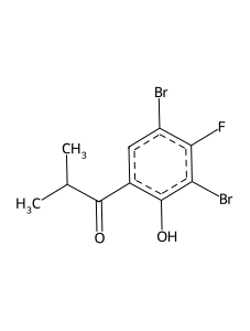 CC(C)C(=O)c1cc(Br)c(F)c(Br)c1O